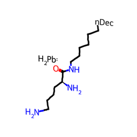 CCCCCCCCCCCCCCCCNC(=O)[C@@H](N)CCCCN.[PbH2]